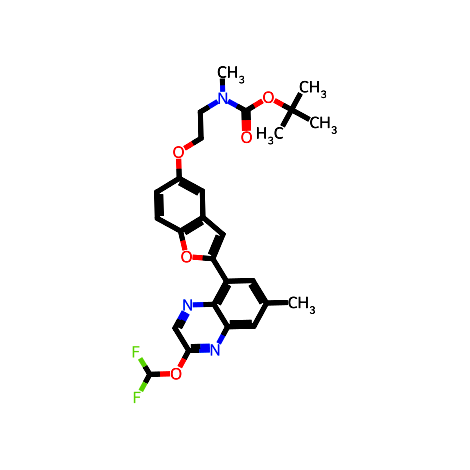 Cc1cc(-c2cc3cc(OCCN(C)C(=O)OC(C)(C)C)ccc3o2)c2ncc(OC(F)F)nc2c1